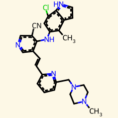 Cc1c(Nc2c(C#N)cncc2C=Cc2cccc(CN3CCN(C)CC3)n2)cc(Cl)c2[nH]ccc12